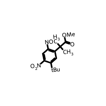 COC(=O)C(C)(C)c1cc(C(C)(C)C)c([N+](=O)[O-])cc1N=O